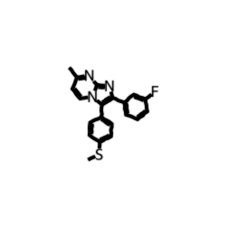 CSc1ccc(-c2c(-c3cccc(F)c3)nc3nc(C)ccn23)cc1